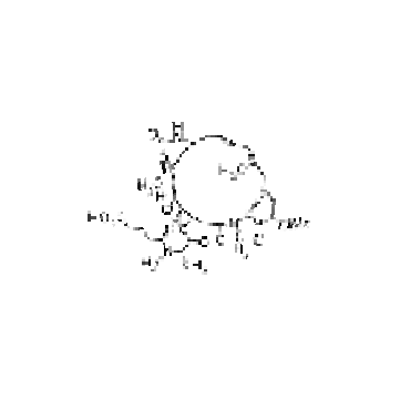 COc1cc2cc(c1Cl)N(C)C(=O)C[C@H](OC(=O)[C@H](C)N(C)C(=O)CCCC(=O)O)[C@@H]1O[C@H]1[C@H](C)[C@@H]1CC(C/C=C/C=C(\C)C2)NC(=O)O1